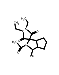 CCOC(=O)C1(C(=O)OCC)C2CCCC2C(O)N1C(C)=O